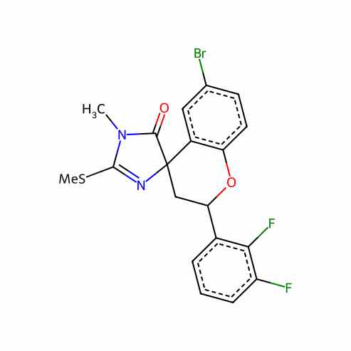 CSC1=NC2(CC(c3cccc(F)c3F)Oc3ccc(Br)cc32)C(=O)N1C